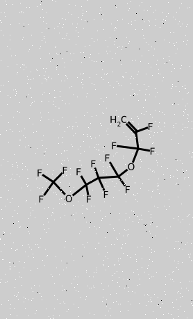 C=C(F)C(F)(F)OC(F)(F)C(F)(F)C(F)(F)OC(F)(F)F